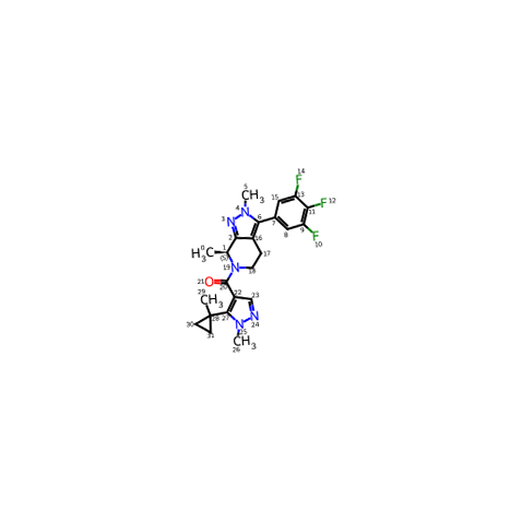 C[C@H]1c2nn(C)c(-c3cc(F)c(F)c(F)c3)c2CCN1C(=O)c1cnn(C)c1C1(C)CC1